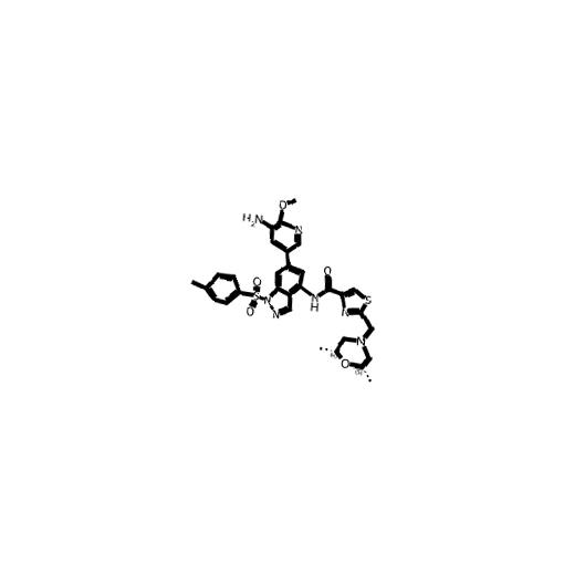 COc1ncc(-c2cc(NC(=O)c3csc(CN4C[C@@H](C)O[C@@H](C)C4)n3)c3cnn(S(=O)(=O)c4ccc(C)cc4)c3c2)cc1N